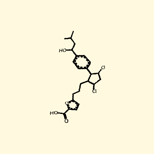 CC(C)CC(O)c1ccc(C2C(Cl)CC(Cl)C2CCCc2ccc(C(=O)O)o2)cc1